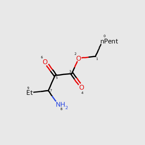 CCCCCCOC(=O)C(=O)C(N)CC